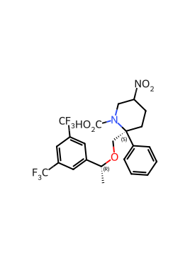 C[C@@H](OC[C@@]1(c2ccccc2)CCC([N+](=O)[O-])CN1C(=O)O)c1cc(C(F)(F)F)cc(C(F)(F)F)c1